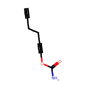 C#CCCC#COC(N)=O